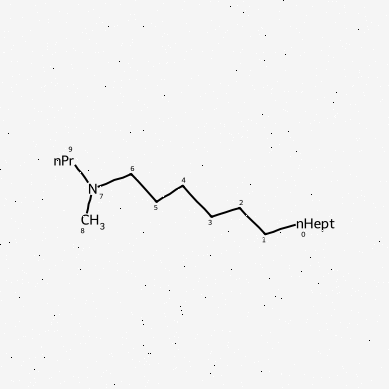 CCCCCCCCCCCCCN(C)CCC